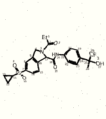 CCC(=O)N1Cc2cc(S(=O)(=O)C3CC3)ccc2C1C(=O)Nc1ccc(C(C)(O)C(F)(F)F)cc1